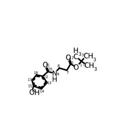 CC(C)(C)OC(=O)CCNC(=O)c1ccc(O)cc1